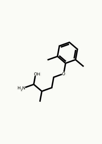 Cc1cccc(C)c1OCCC(C)C(N)O